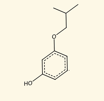 CC(C)COc1c[c]cc(O)c1